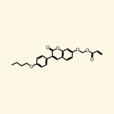 C=CC(=O)OCOc1ccc2cc(-c3ccc(OCCCC)cc3)c(=O)oc2c1